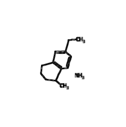 CCc1ccc2c(c1)CCCC2C.N